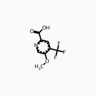 COc1cnc(C(=O)O)cc1C(F)(F)F